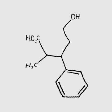 CC(C(=O)O)C(CCO)c1ccccc1